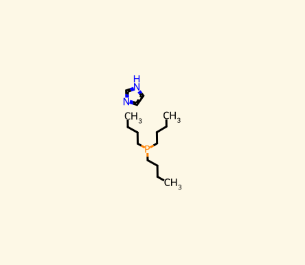 CCCCP(CCCC)CCCC.c1c[nH]cn1